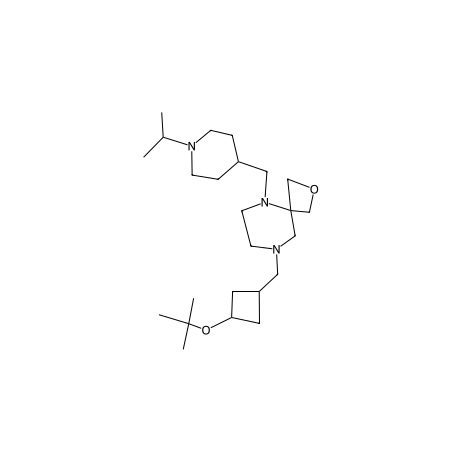 CC(C)N1CCC(CN2CCN(CC3CC(OC(C)(C)C)C3)CC23COC3)CC1